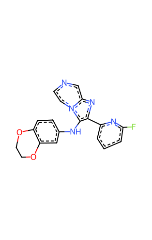 Fc1cccc(-c2nc3cnccn3c2Nc2ccc3c(c2)OCCO3)n1